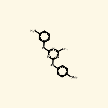 COc1ccc(Nc2nc(N)nc(Nc3cccc(N)c3)n2)cc1